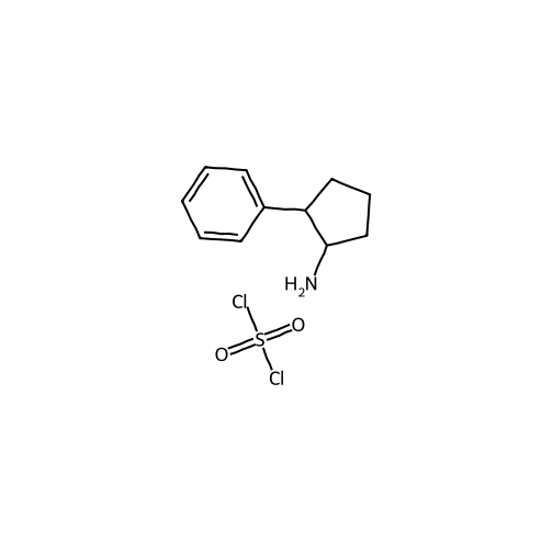 NC1CCCC1c1ccccc1.O=S(=O)(Cl)Cl